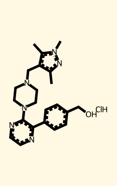 Cc1nn(C)c(C)c1CN1CCN(c2nccnc2-c2ccc(CO)cc2)CC1.Cl